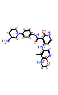 Cc1c(Nc2cc[nH]c(=O)c2C(=O)Nc2ccc(N3CCCC(N)C3)cc2)cnc2c1NCCO2